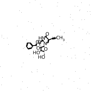 CC#Cc1cn([C@@H]2O[C@H](CO)[C@@H](O)[C@@]2(F)OC(=O)c2ccccc2)c(=O)[nH]c1=O